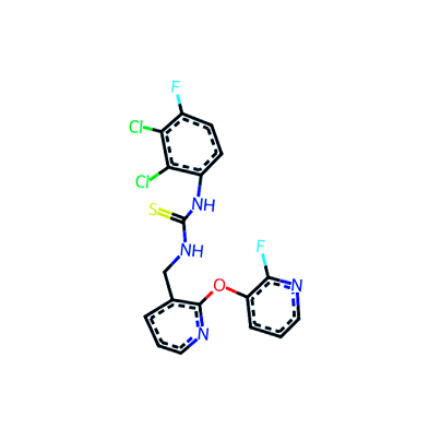 Fc1ccc(NC(=S)NCc2cccnc2Oc2cccnc2F)c(Cl)c1Cl